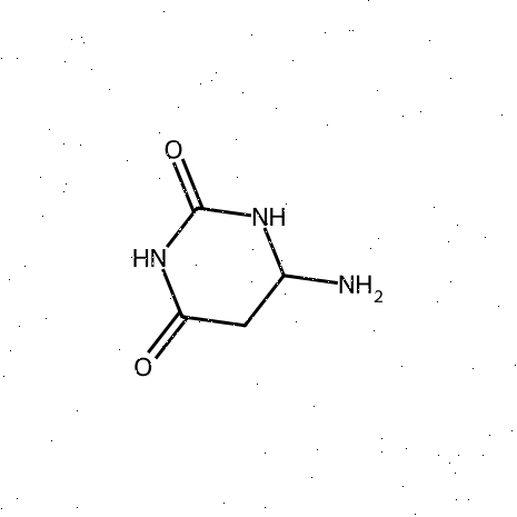 NC1CC(=O)NC(=O)N1